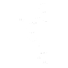 COC(=O)COc1ccc(C[C@H](C)NCC(O)c2ccccc2)cc1